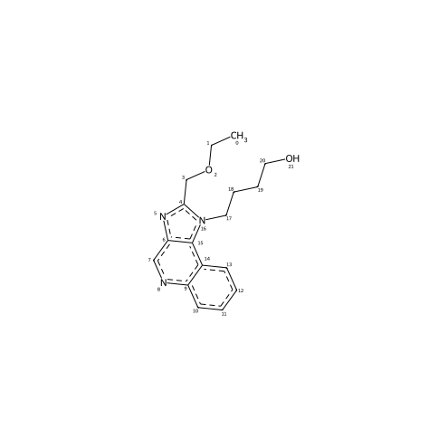 CCOCc1nc2cnc3ccccc3c2n1CCCCO